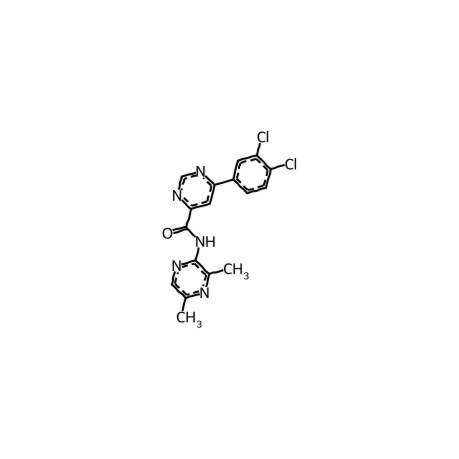 Cc1cnc(NC(=O)c2cc(-c3ccc(Cl)c(Cl)c3)ncn2)c(C)n1